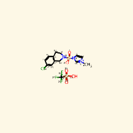 C[n+]1ccn(S(=O)(=O)N2CCc3ccc(Cl)cc3C2)c1.O=S(=O)(O)C(F)(F)F